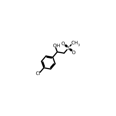 CS(=O)(=O)CC(O)c1ccc(Cl)cc1